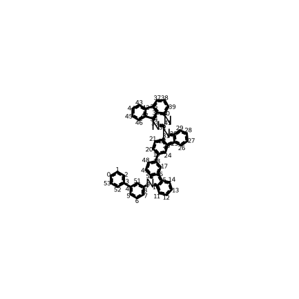 c1ccc(-c2cccc(-n3c4ccccc4c4cc(-c5ccc6c(c5)c5ccccc5n6-c5nc6c7c(cccc7n5)-c5ccccc5-6)ccc43)c2)cc1